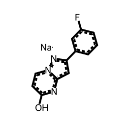 Oc1ccn2nc(-c3cccc(F)c3)cc2n1.[Na]